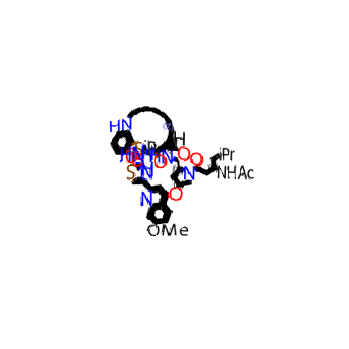 COc1ccc2c(O[C@@H]3C[C@@H](C(=O)N[C@]45C[C@H]4/C=C\CCCCCNc4ccccc4S(=O)(=O)NC5=O)N(C(=O)C[C@H](CC(C)C)NC(C)=O)C3)cc(-c3csc(NC(C)C)n3)nc2c1